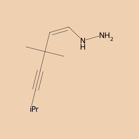 CC(C)C#CC(C)(C)/C=C\NN